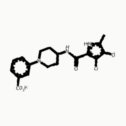 Cc1[nH]c(C(=O)NC2CCN(c3cccc(C(=O)O)c3)CC2)c(Cl)c1Cl